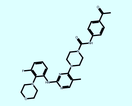 CC(=O)c1ccc(NC(=O)N2CCN(c3nc(Nc4cccc(F)c4N4CCOCC4)ncc3C)CC2)cc1